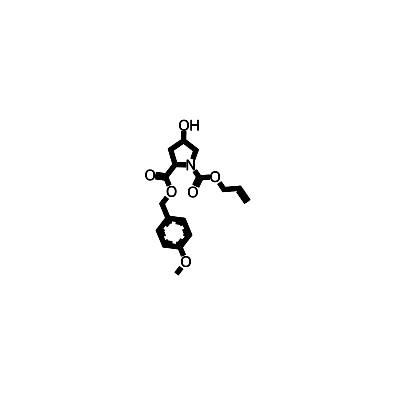 C=CCOC(=O)N1CC(O)CC1C(=O)OCc1ccc(OC)cc1